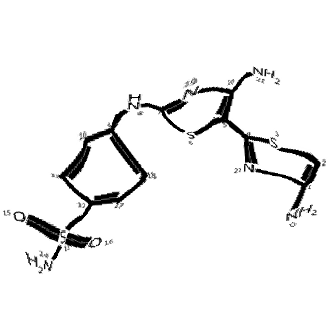 Nc1csc(-c2sc(Nc3ccc(S(N)(=O)=O)cc3)nc2N)n1